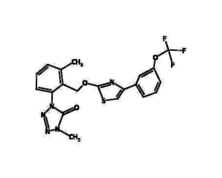 Cc1cccc(-n2nnn(C)c2=O)c1COc1nc(-c2cccc(OC(F)(F)F)c2)cs1